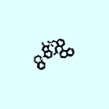 CC(C)=Cc1c(CS(C)(C)C2C(C)=Cc3c2cccc3N2CCCc3ccccc32)cccc1-c1cccc2ccccc12